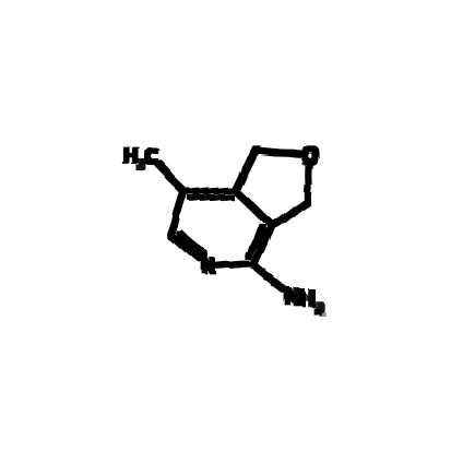 Cc1cnc(N)c2c1COC2